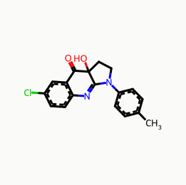 Cc1ccc(N2CCC3(O)C(=O)c4cc(Cl)ccc4N=C23)cc1